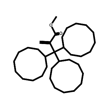 C=C(C(=O)OC)C(C1CCCCCCCCC1)(C1CCCCCCCCC1)C1CCCCCCCCC1